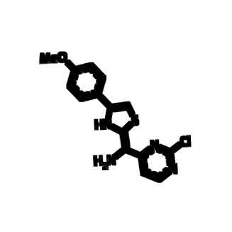 COc1ccc(C2=CS/C(=C(/N)c3ccnc(Cl)n3)N2)cc1